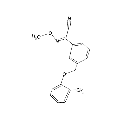 CON=C(C#N)c1cccc(COc2ccccc2C)c1